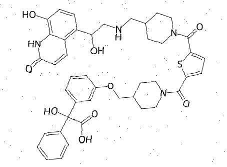 O=C(c1ccc(C(=O)N2CCC(COc3cccc(C(O)(C(=O)O)c4ccccc4)c3)CC2)s1)N1CCC(CNCC(O)c2ccc(O)c3[nH]c(=O)ccc23)CC1